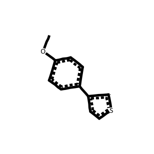 COc1ccc(-c2[c]scc2)cc1